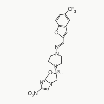 C[C@]1(N2CCN(N=Cc3cc4cc(C(F)(F)F)ccc4o3)CC2)Cn2cc([N+](=O)[O-])nc2O1